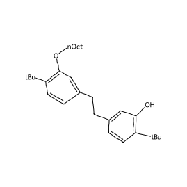 CCCCCCCCOc1cc(CCc2ccc(C(C)(C)C)c(O)c2)ccc1C(C)(C)C